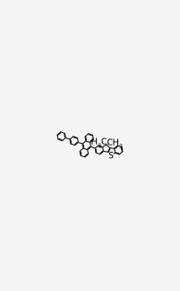 CC1(C)c2cc(-c3c4ccccc4c(-c4ccc(-c5ccccc5)cc4)c4ccccc34)ccc2-c2sc3ccccc3c21